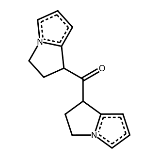 O=C(C1CCn2cccc21)C1CCn2cccc21